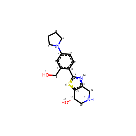 OCc1cc(N2CCCC2)ccc1-c1nc2c(s1)[C@@H](O)CNC2